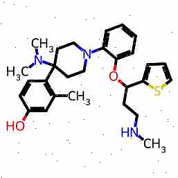 CNCCC(Oc1ccccc1N1CCC(c2ccc(O)cc2C)(N(C)C)CC1)c1cccs1